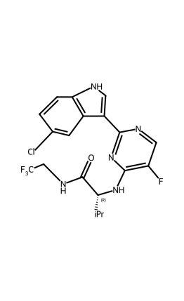 CC(C)[C@@H](Nc1nc(-c2c[nH]c3ccc(Cl)cc23)ncc1F)C(=O)NCC(F)(F)F